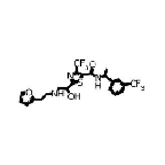 CC(NC(=O)c1sc(C(O)CNCCc2ccco2)nc1C(F)(F)F)c1cccc(C(F)(F)F)c1